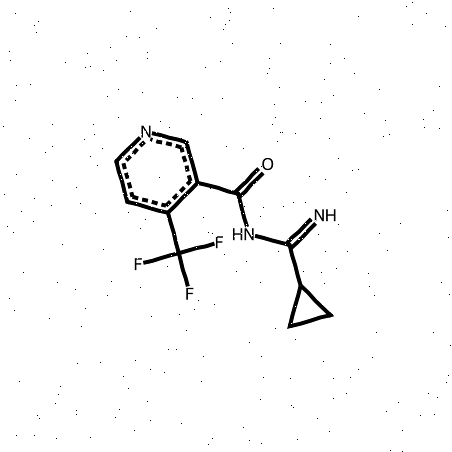 N=C(NC(=O)c1cnccc1C(F)(F)F)C1CC1